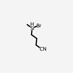 C[SiH](Br)CCCC#N